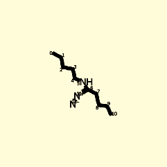 CCCCCNC(CCCC)=[N+]=[N-]